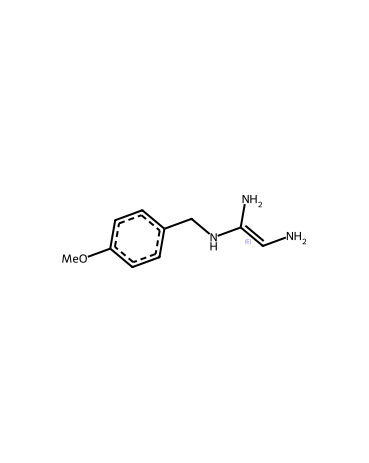 COc1ccc(CN/C(N)=C/N)cc1